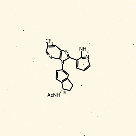 CC(=O)N[C@H]1CCc2cc(-n3c(-c4cccnc4N)nc4cc(C(F)(F)F)cnc43)ccc21